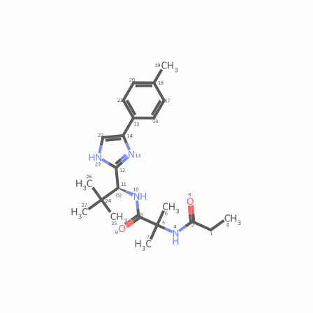 CCC(=O)NC(C)(C)C(=O)N[C@H](c1nc(-c2ccc(C)cc2)c[nH]1)C(C)(C)C